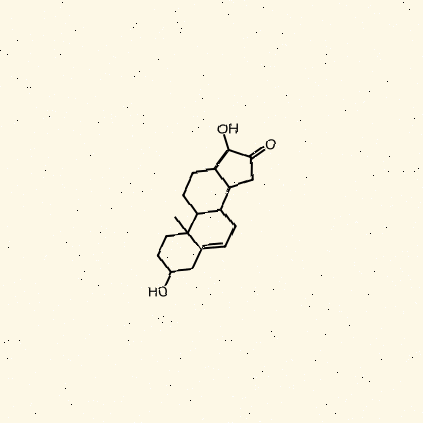 CC12CCC(O)CC1=CCC1C3CC(=O)C(O)C3CCC12